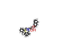 COc1ccccc1Sc1ccccc1CN(C)CC(O)COc1ccc2ccccc2c1